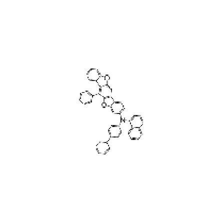 c1ccc(-c2ccc(N(c3ccc4c(c3)oc3c(-c5ccccc5)c5c(cc34)oc3ccccc35)c3cccc4ccccc34)cc2)cc1